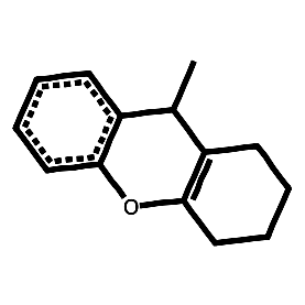 CC1C2=C(CCCC2)Oc2ccccc21